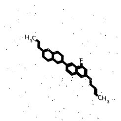 C/C=C/CCc1cc(F)c2cc(C3CCC4CC(CCC)CCC4C3)ccc2c1